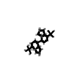 CC(C)(C)c1ccc(-c2ccc(C(C)(C)C)n3cncc23)n2cncc12